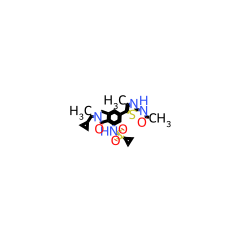 CC(=O)Nc1nc(C)c(-c2cc3c(c(NS(=O)(=O)C4CC4)c2)C(=O)N([C@@H](C)C2CC2)C3)s1